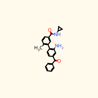 Cc1ccc(C(=O)NC2CC2)cc1-c1ccc(C(=O)c2ccccc2)cc1N